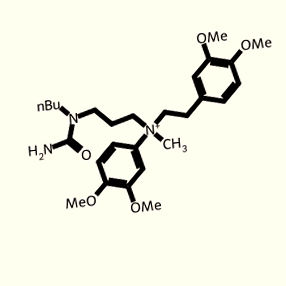 CCCCN(CCC[N+](C)(CCc1ccc(OC)c(OC)c1)c1ccc(OC)c(OC)c1)C(N)=O